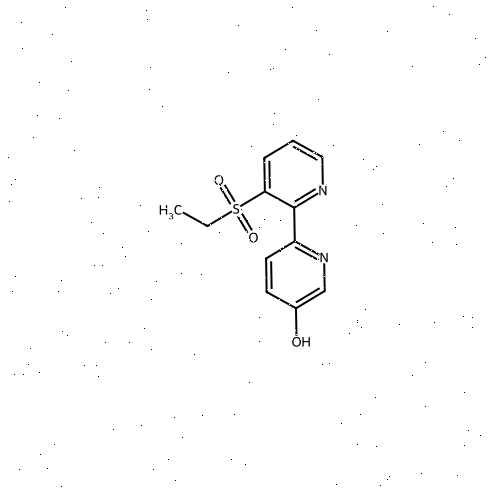 CCS(=O)(=O)c1cccnc1-c1ccc(O)cn1